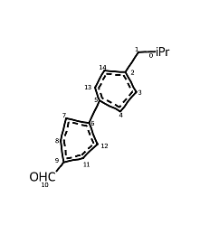 CC(C)Cc1ccc(-c2ccc(C=O)cc2)cc1